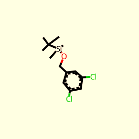 CC(C)(C)[Si](C)(C)OCc1cc(Cl)cc(Cl)c1